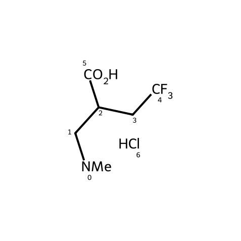 CNCC(CC(F)(F)F)C(=O)O.Cl